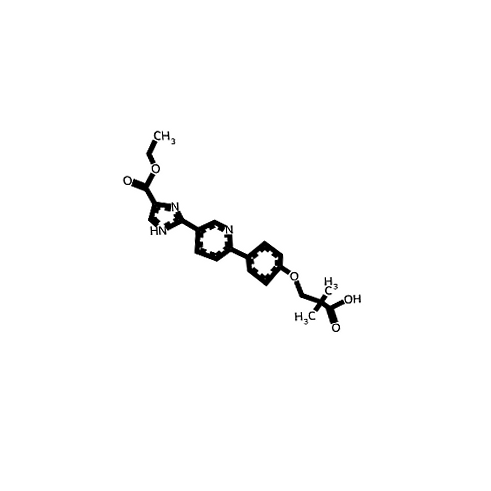 CCOC(=O)c1c[nH]c(-c2ccc(-c3ccc(OCC(C)(C)C(=O)O)cc3)nc2)n1